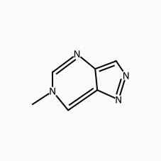 Cn1cnc2cnnc-2c1